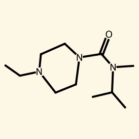 CCN1CCN(C(=O)N(C)C(C)C)CC1